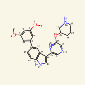 COc1cc(OC)cc(-c2ccc3[nH]cc(-c4cncc(OC5CCCNC5)n4)c3c2)c1